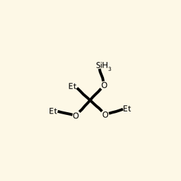 CCOC(CC)(O[SiH3])OCC